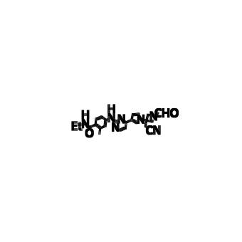 CCNC(=O)c1ccc(Nc2nccc(-c3ccn(C4(CC#N)CN(C=O)C4)c3)n2)cc1C